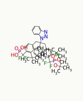 CC(C)(C)OP(=O)(OC(C)(C)C)C(F)(F)c1ccc(CC(Cc2ccc(C(F)(F)P(=O)(O)O)c(C(C)(C)C)c2C(C)(C)C)(c2ccccc2)n2nnc3ccccc32)cc1Br